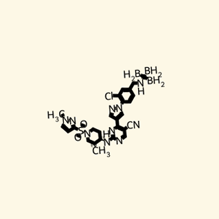 BC(B)(B)NCc1ccc(-n2cc(-c3nc(N[C@H]4CCN(S(=O)(=O)c5ccn(C)n5)C[C@H]4C)ncc3C#N)cn2)c(Cl)c1